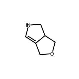 C1=C2COCC2CN1